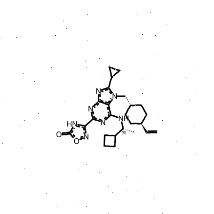 C=C[C@H]1CC[C@H](Cn2c(C3CC3)nc3nc(-c4noc(=O)[nH]4)nc(N[C@H](C)C4CCC4)c32)CC1